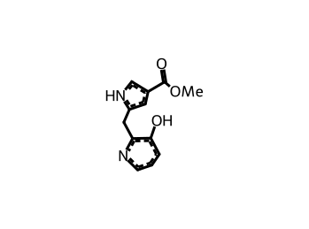 COC(=O)c1c[nH]c(Cc2ncccc2O)c1